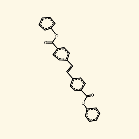 O=C(Oc1ccccc1)c1ccc(C=Cc2ccc(C(=O)Oc3ccccc3)cc2)cc1